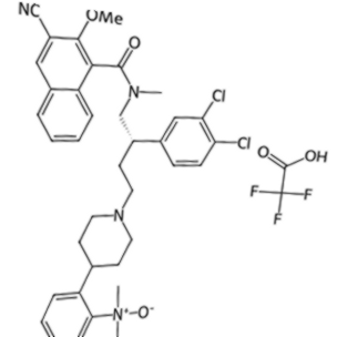 COc1c(C#N)cc2ccccc2c1C(=O)N(C)C[C@@H](CCN1CCC(c2ccccc2[N+](C)(C)[O-])CC1)c1ccc(Cl)c(Cl)c1.O=C(O)C(F)(F)F